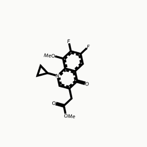 COC(=O)Cc1cn(C2CC2)c2c(OC)c(F)c(F)cc2c1=O